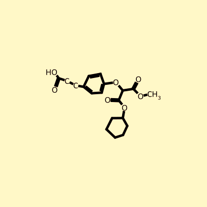 COC(=O)C(Oc1ccc(CCC(=O)O)cc1)C(=O)OC1CCCCC1